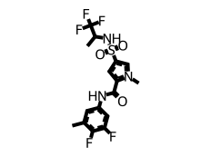 Cc1cc(NC(=O)c2cc(S(=O)(=O)NC(C)C(F)(F)F)cn2C)cc(F)c1F